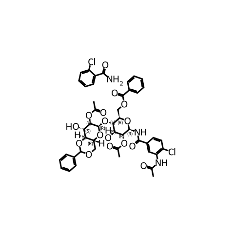 CC(=O)Nc1cc(C(=O)N[C@@H]2O[C@H](COC(=O)c3ccccc3)[C@@H](O[C@H]3O[C@@H]4COC(c5ccccc5)O[C@H]4[C@H](O)[C@H]3OC(C)=O)[C@H](O)[C@H]2OC(C)=O)ccc1Cl.NC(=O)c1ccccc1Cl